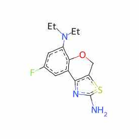 CCN(CC)c1cc(F)cc2c1OCc1sc(N)nc1-2